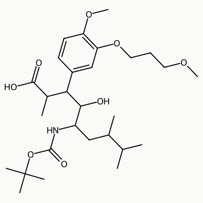 COCCCOc1cc(C(C(C)C(=O)O)C(O)C(CC(C)C(C)C)NC(=O)OC(C)(C)C)ccc1OC